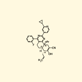 C=CC[C@H]1C(O)=C(C#N)C[C@@]2(CCC)c3nc(-c4ccnc(C5CC5)c4)nc(-c4ccccc4F)c3CC[C@H]12